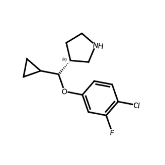 Fc1cc(OC(C2CC2)[C@@H]2CCNC2)ccc1Cl